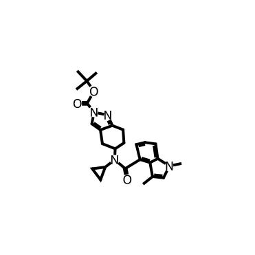 Cc1cn(C)c2cccc(C(=O)N(C3CC3)C3CCc4nn(C(=O)OC(C)(C)C)cc4C3)c12